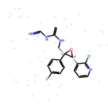 C=C(NC=N)NC[C@]1(c2ccc(F)cc2)O[C@@H]1c1cccnc1Cl